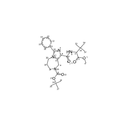 COC(=O)C(NC(=O)c1nc(-c2ccccc2)n2c1CN(C(=O)OC(C)(C)C)CCC2)C(C)(C)C